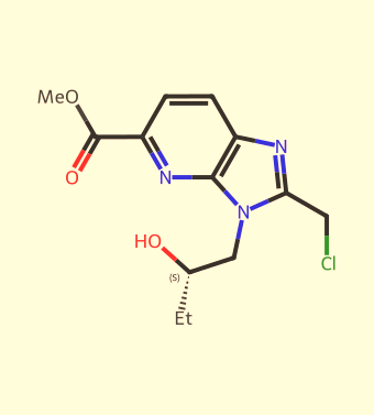 CC[C@H](O)Cn1c(CCl)nc2ccc(C(=O)OC)nc21